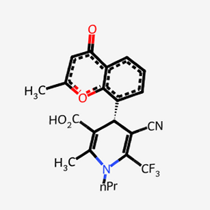 CCCN1C(C)=C(C(=O)O)[C@H](c2cccc3c(=O)cc(C)oc23)C(C#N)=C1C(F)(F)F